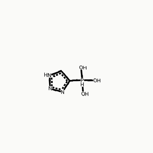 O[PH](O)(O)c1c[nH]nn1